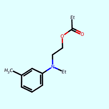 CCC(=O)OCCN(CC)c1cccc(C)c1